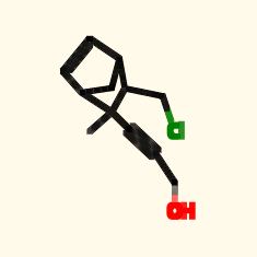 CC1(C#CCO)C2C=CC(C2)C1CCl